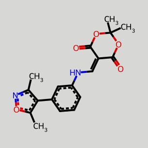 Cc1noc(C)c1-c1cccc(NC=C2C(=O)OC(C)(C)OC2=O)c1